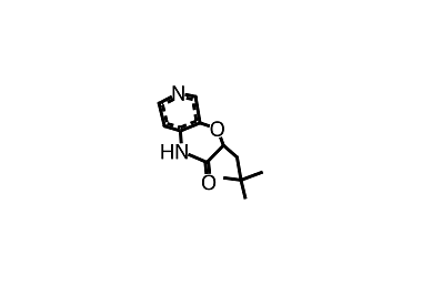 CC(C)(C)CC1Oc2cnccc2NC1=O